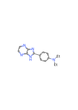 CCN(CC)c1ccc(-c2nc3nccnc3[nH]2)cc1